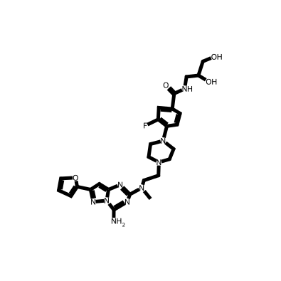 CN(CCN1CCN(c2ccc(C(=O)NCC(O)CO)cc2F)CC1)c1nc(N)n2nc(-c3ccco3)cc2n1